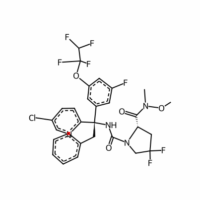 CON(C)C(=O)[C@@H]1CC(F)(F)CN1C(=O)N[C@@](Cc1ccccc1)(c1cc(F)cc(OC(F)(F)C(F)F)c1)c1ccc(Cl)cn1